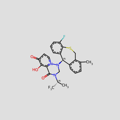 Cc1cccc2c1CSc1c(F)cccc1[C@@H]2N1CN([C@H](C)C(F)(F)F)C(=O)c2c(O)c(=O)ccn21